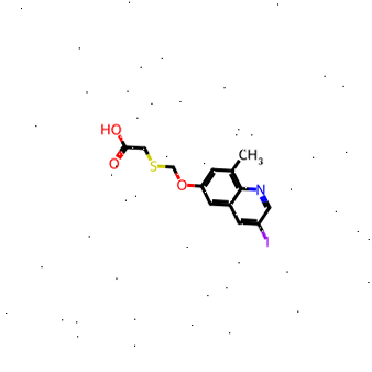 Cc1cc(OCSCC(=O)O)cc2cc(I)cnc12